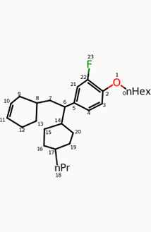 CCCCCCOc1ccc(C(CC2CC=CCC2)C2CCC(CCC)CC2)cc1F